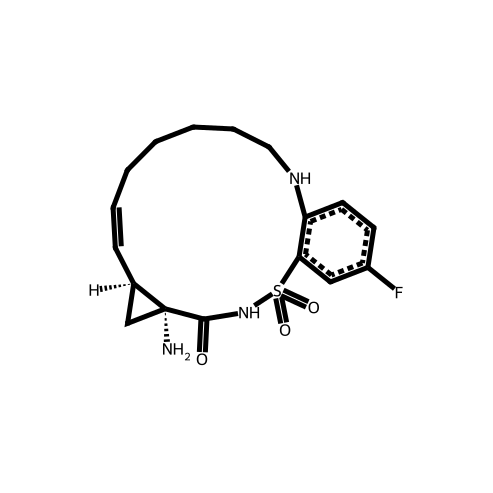 N[C@]12C[C@H]1/C=C\CCCCCNc1ccc(F)cc1S(=O)(=O)NC2=O